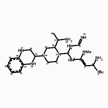 CN/C(=C\C(N)C(C)(C)C)NC(NC=N)N1CCN(C2CNc3ccccc3N2)CC1C(C)N